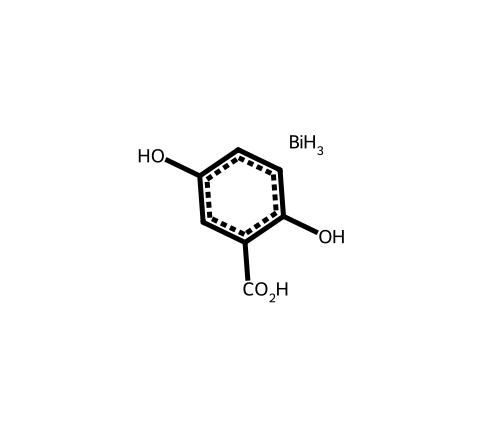 O=C(O)c1cc(O)ccc1O.[BiH3]